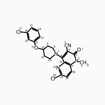 Cn1c(=O)c(C#N)c(N2CCC(Oc3cccc(Cl)c3)CC2)c2nc(Cl)ccc21